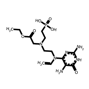 C=CN(CCN(CCP(=O)(O)O)CC(=O)OCC)c1nc(N)[nH]c(=O)c1N